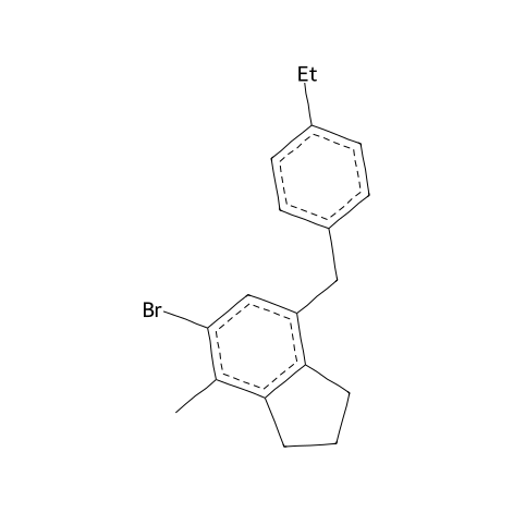 CCc1ccc(Cc2cc(Br)c(C)c3c2CCC3)cc1